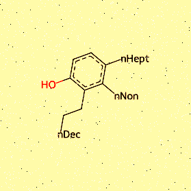 CCCCCCCCCCCCc1c(O)ccc(CCCCCCC)c1CCCCCCCCC